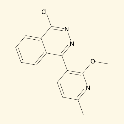 COc1nc(C)ccc1-c1nnc(Cl)c2ccccc12